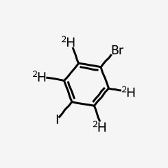 [2H]c1c([2H])c(I)c([2H])c([2H])c1Br